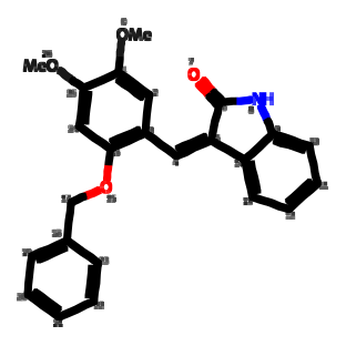 COc1cc(C=C2C(=O)Nc3ccccc32)c(OCc2ccccc2)cc1OC